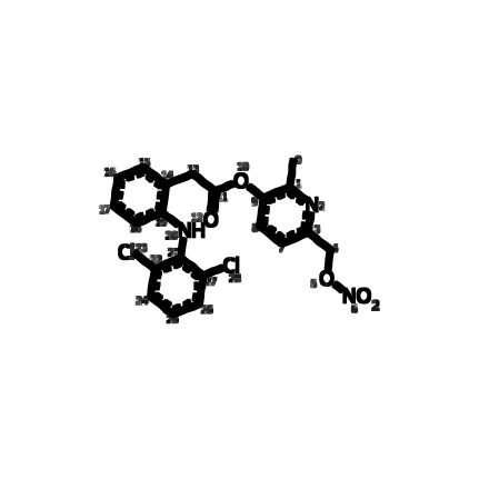 Cc1nc(CO[N+](=O)[O-])ccc1OC(=O)Cc1ccccc1Nc1c(Cl)cccc1Cl